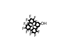 Cc1cc(O)cc(C)c1[B-](c1c(F)c(F)c(F)c(F)c1F)(c1c(F)c(F)c(F)c(F)c1F)c1c(F)c(F)c(F)c(F)c1F